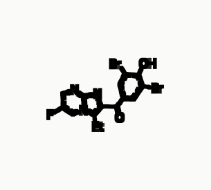 CCc1c(C(=O)c2cc(Br)c(O)c(Br)c2)nc2ncc(F)cn12